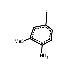 CSc1cc(Cl)ccc1N